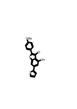 CCc1c(-c2ccc(OC)cc2)sc2cc(-c3cccs3)cc(O)c12